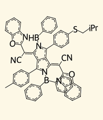 Cc1ccc(-c2c3/c(=C(\C#N)c4nc5ccccc5o4)n(Bc4ccccc4)c(-c4ccc(SCC(C)C)cc4)c3/c(=C(\C#N)c3nc4ccccc4o3)n2B(c2ccccc2)c2ccccc2)cc1